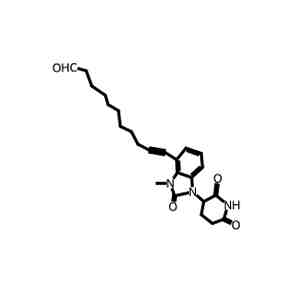 Cn1c(=O)n(C2CCC(=O)NC2=O)c2cccc(C#CCCCCCCCCC=O)c21